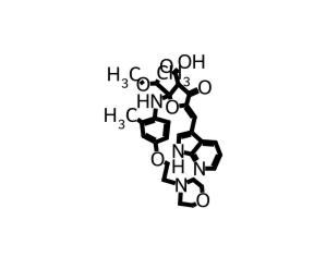 COC(C)C1(Nc2ccc(OCCN3CCOCC3)cc2C)O/C(=C\c2c[nH]c3ncccc23)C(=O)C1C(=O)O